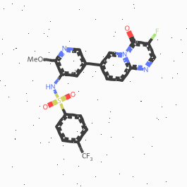 COc1ncc(-c2ccc3ncc(F)c(=O)n3c2)cc1NS(=O)(=O)c1ccc(C(F)(F)F)cc1